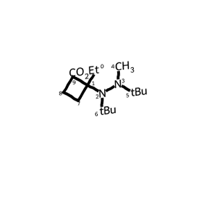 CCOC(=O)C1(N(N(C)C(C)(C)C)C(C)(C)C)CCC1